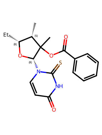 CC[C@H]1O[C@@H](n2ccc(=O)[nH]c2=S)C(C)(OC(=O)c2ccccc2)[C@H]1C